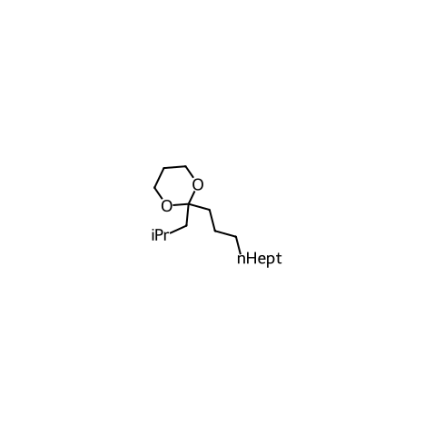 CCCCCCCCCCC1(CC(C)C)OCCCO1